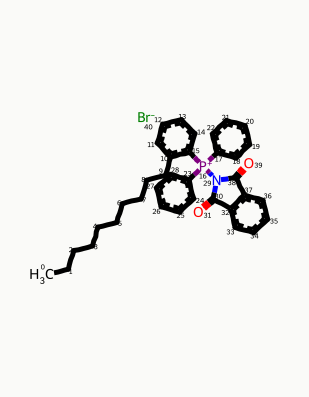 CCCCCCCCCCc1ccccc1[P+](c1ccccc1)(c1ccccc1)N1C(=O)c2ccccc2C1=O.[Br-]